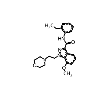 CCc1ccccc1NC(=O)c1nn(CCN2CCOCC2)c2c(OC)cccc12